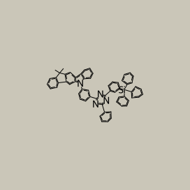 CC1(C)c2ccccc2-c2cc3c(cc21)c1ccccc1n3-c1cccc(-c2nc(-c3ccccc3)nc(-c3cccc([Si](c4ccccc4)(c4ccccc4)c4ccccc4)c3)n2)c1